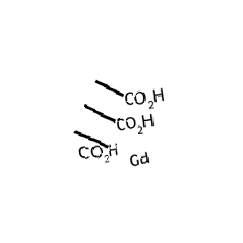 CC(=O)O.CC(=O)O.CC(=O)O.[Gd]